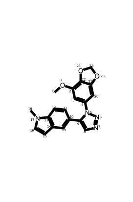 COc1cc(-n2nncc2-c2ccc3c(ccn3C)c2)cc2c1OCO2